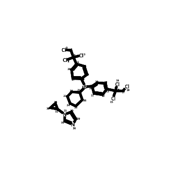 ClCC(Cl)(Cl)c1ccc(B(c2ccc(C(Cl)(Cl)CCl)cc2)C2CCCCC2)cc1.c1cn(C2CC2)cn1